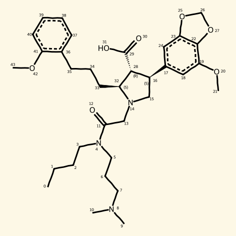 CCCCN(CCCN(C)C)C(=O)CN1C[C@H](c2cc(OC)c3c(c2)OCO3)[C@@H](C(=O)O)[C@@H]1CCCc1ccccc1OC